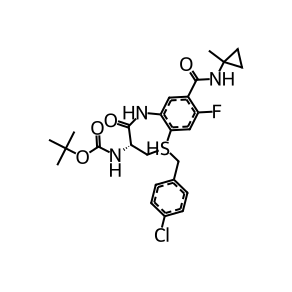 CC1(NC(=O)c2cc3c(cc2F)[SH](Cc2ccc(Cl)cc2)C[C@H](NC(=O)OC(C)(C)C)C(=O)N3)CC1